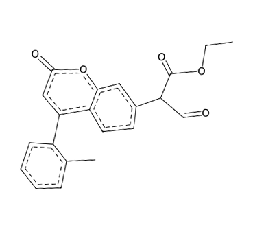 CCOC(=O)C(C=O)c1ccc2c(-c3ccccc3C)cc(=O)oc2c1